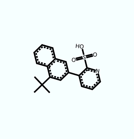 CC(C)(C)c1cc(-c2cccnc2S(=O)(=O)O)cc2ccccc12